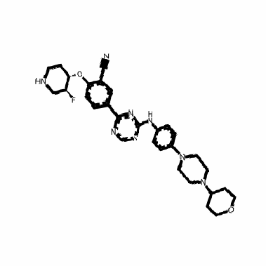 N#Cc1cc(-c2ncnc(Nc3ccc(N4CCN(C5CCOCC5)CC4)cc3)n2)ccc1O[C@H]1CCNC[C@@H]1F